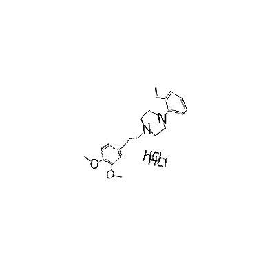 C=Cc1ccccc1N1CCN(CCc2ccc(OC)c(OC)c2)CC1.Cl.Cl